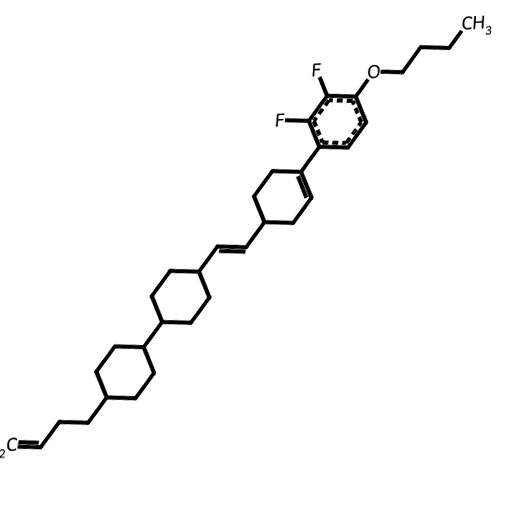 C=CCCC1CCC(C2CCC(/C=C/C3CC=C(c4ccc(OCCCC)c(F)c4F)CC3)CC2)CC1